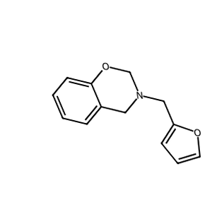 c1coc(CN2COc3ccccc3C2)c1